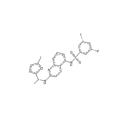 Cc1ccc(C(C)Nc2ccc3c(NS(=O)(=O)c4cc(F)cc(F)c4)cccc3n2)o1